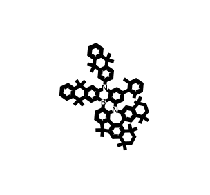 Cc1cccc(C)c1-c1cc2c3c(c1)N1c4cc5c(cc4-c4c6c(cc7c4C(C)(C)CCC7(C)C)C(C)(C)c4ccc(c1c4-6)B3c1cc3c(cc1N2c1ccc2c(c1)C(C)(C)c1ccccc1C2(C)C)C(C)(C)c1ccccc1C3(C)C)C(C)(C)CCC5(C)C